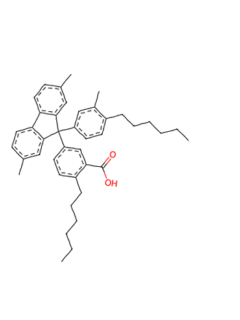 CCCCCCc1ccc(C2(c3ccc(CCCCCC)c(C(=O)O)c3)c3cc(C)ccc3-c3ccc(C)cc32)cc1C